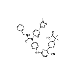 Cn1cc(-c2ccc(N(C(=O)NCc3ccccc3)c3ccc(Nc4ncc(C#N)c(-c5ccc6c(c5)NC(=O)C6(C)C)n4)cc3)nc2)cn1